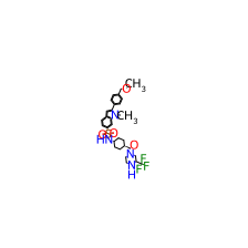 COCc1ccc(-c2cc3ccc(S(=O)(=O)N[C@H]4CC[C@H](C(=O)N5CCNC(C(F)(F)F)C5)CC4)cc3n2C)cc1